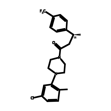 Cc1ccc(Cl)cc1N1CCN(C(=O)C[C@@H](C)c2ccc(C(F)(F)F)cc2)CC1